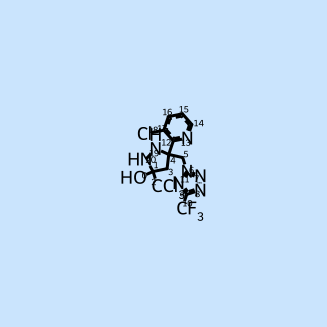 OC1(C(Cl)(Cl)Cl)CC(Cn2nnc(C(F)(F)F)n2)(c2ncccc2Cl)NN1